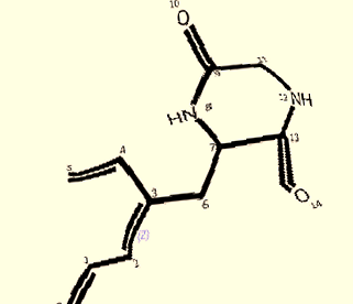 C=C/C=C(\C=C)CC1NC(=O)CNC1=O